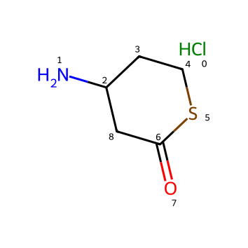 Cl.NC1CCSC(=O)C1